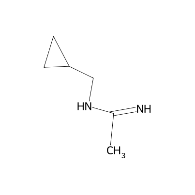 CC(=N)NCC1CC1